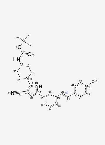 CC(C)(C)OC(=O)NC1CCN(c2[nH]c(-c3ccnc(/C=C/c4ccc(F)cc4)c3)cc2C#N)CC1